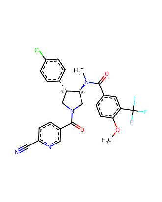 COc1ccc(C(=O)N(C)[C@H]2CN(C(=O)c3ccc(C#N)nc3)C[C@@H]2c2ccc(Cl)cc2)cc1C(F)(F)F